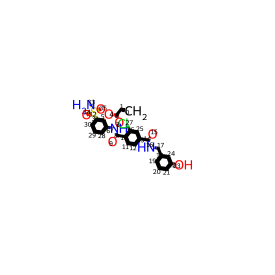 C=CC(=O)Oc1c(NC(=O)c2ccc(C(=O)NCc3cccc(O)c3)cc2Cl)cccc1S(N)(=O)=O